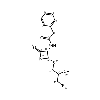 O=C(Cc1ccccc1)N[C@H]1C(=O)N[C@H]1SCC(O)CF